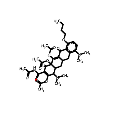 CCCCOc1ccc(N(C)C)c2c1C(=O)C1=C(OC(C)=O)C3(OC(C)=O)C(=O)C(C(=O)NC(C)=O)=C(OC(C)=O)C(N(C)C)C3CC1C2